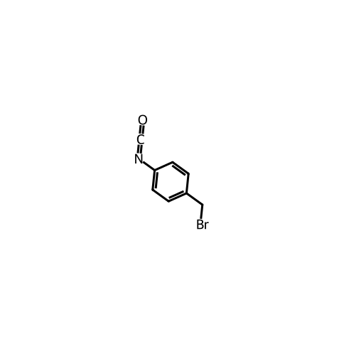 O=C=Nc1ccc(CBr)cc1